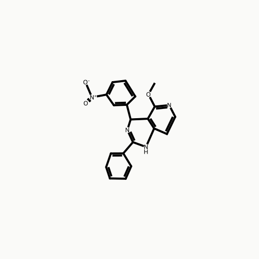 COc1nccc2c1C(c1cccc([N+](=O)[O-])c1)N=C(c1ccccc1)N2